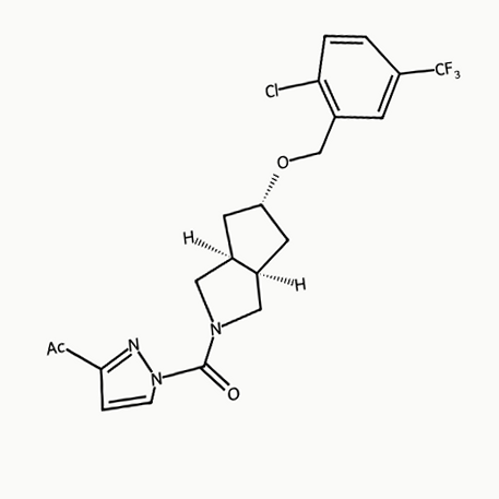 CC(=O)c1ccn(C(=O)N2C[C@H]3C[C@H](OCc4cc(C(F)(F)F)ccc4Cl)C[C@H]3C2)n1